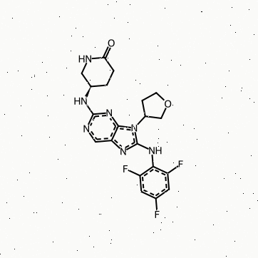 O=C1CC[C@@H](Nc2ncc3nc(Nc4c(F)cc(F)cc4F)n(C4CCOC4)c3n2)CN1